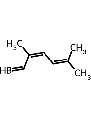 B=C/C(C)=C\C=C(C)C